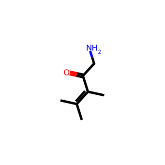 CC(C)=C(C)C(=O)CN